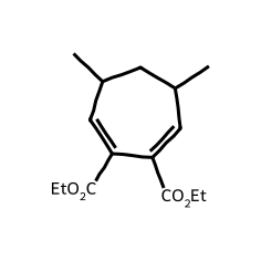 CCOC(=O)C1=CC(C)CC(C)C=C1C(=O)OCC